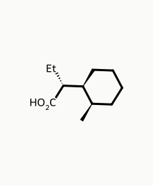 CC[C@@H](C(=O)O)[C@H]1CCCC[C@H]1C